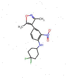 Cc1noc(C)c1-c1ccc(NC2CCC(F)(F)CC2)c([N+](=O)[O-])c1